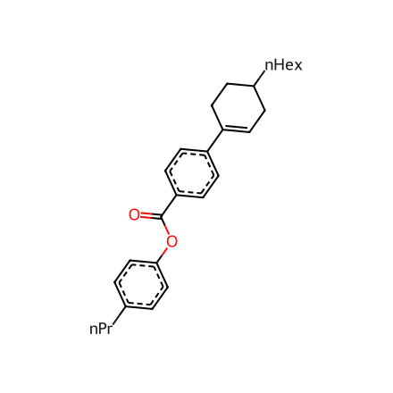 CCCCCCC1CC=C(c2ccc(C(=O)Oc3ccc(CCC)cc3)cc2)CC1